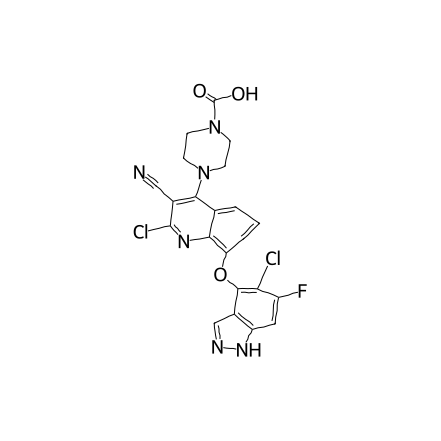 N#Cc1c(Cl)nc2c(Oc3c(Cl)c(F)cc4[nH]ncc34)cccc2c1N1CCN(C(=O)O)CC1